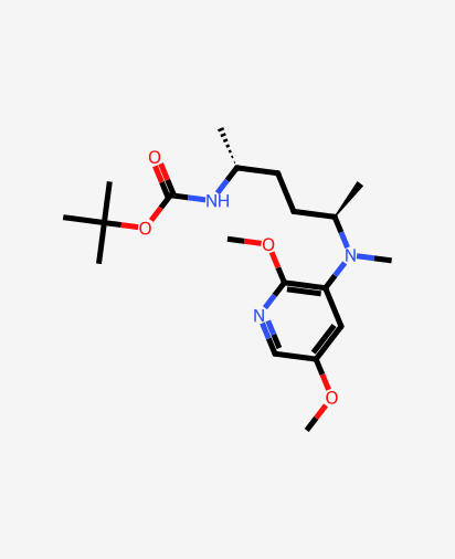 COc1cnc(OC)c(N(C)[C@H](C)CC[C@@H](C)NC(=O)OC(C)(C)C)c1